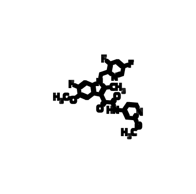 COc1cc(NC(=O)C(=O)c2c(C)n(Cc3ncc(F)cc3F)c3cc(F)c(OC)cc23)ccn1